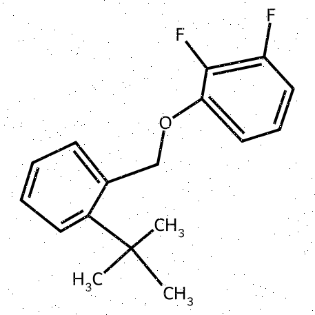 CC(C)(C)c1ccccc1COc1cccc(F)c1F